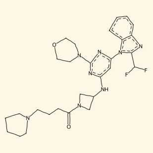 O=C(CCCN1CCCCC1)N1CC(Nc2cc(-n3c(C(F)F)nc4ccccc43)nc(N3CCOCC3)n2)C1